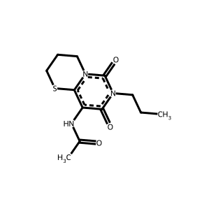 CCCn1c(=O)c(NC(C)=O)c2n(c1=O)CCCS2